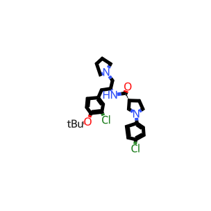 CC(C)(C)Oc1ccc(CC(CN2CCCC2)NC(=O)[C@@H]2CCN(c3ccc(Cl)cc3)C2)cc1Cl